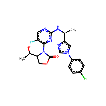 C[C@H](Nc1ncc(F)c(N2C(=O)OCC2[C@@H](C)O)n1)c1cn(-c2ccc(Cl)cc2)cn1